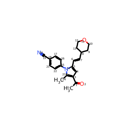 CC(=O)c1cc(C=CC2CCOCC2)n(-c2ccc(C#N)cc2)c1C